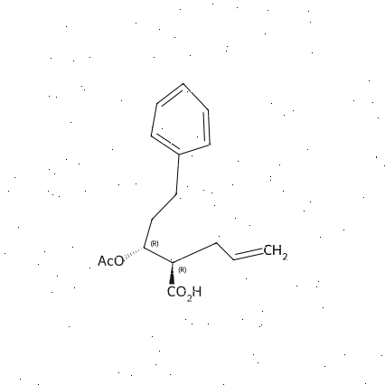 C=CC[C@@H](C(=O)O)[C@@H](CCc1ccccc1)OC(C)=O